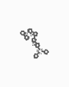 c1ccc(-c2nc(-c3ccccc3)nc(-c3ccc4c(c3)oc3ccc(-c5cccc6c5oc5c(-n7c8ccccc8c8ccccc87)cccc56)cc34)n2)cc1